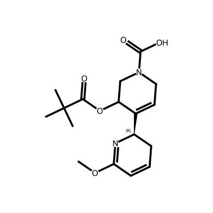 COC1=N[C@@H](C2=CCN(C(=O)O)CC2OC(=O)C(C)(C)C)CC=C1